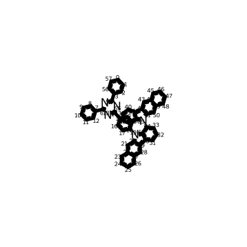 c1ccc(-c2nc(-c3ccccc3)nc(-c3ccc(-n4c5cc6ccccc6cc5c5cccc(-n6c7ccccc7c7cc8ccccc8cc76)c54)cc3)n2)cc1